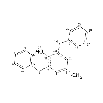 Cc1cc(Cc2ccccc2)c(O)c(Cc2ccccc2)c1